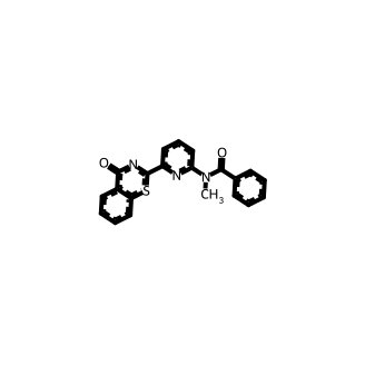 CN(C(=O)c1ccccc1)c1cccc(-c2nc(=O)c3ccccc3s2)n1